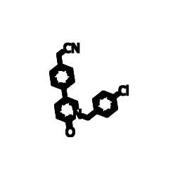 N#CCc1ccc(-c2ccc(=O)n(Cc3ccc(Cl)cc3)c2)cc1